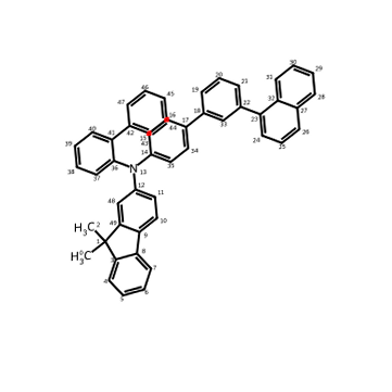 CC1(C)c2ccccc2-c2ccc(N(c3ccc(-c4cccc(-c5cccc6ccccc56)c4)cc3)c3ccccc3-c3ccccc3)cc21